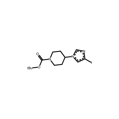 CC(C)(C)OC(=O)N1CCC(n2cnc(I)c2)CC1